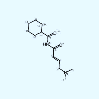 CN(C)CC=CC(=O)NC(=O)C1CCCCN1